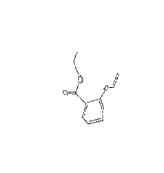 C=COc1ccccc1C(=O)OCC